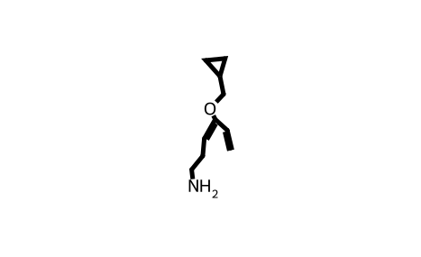 C=C/C(=C\CCN)OCC1CC1